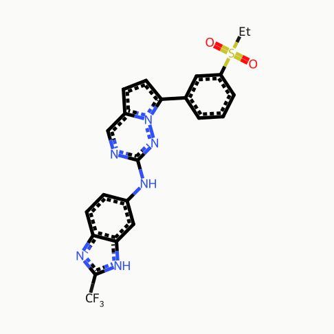 CCS(=O)(=O)c1cccc(-c2ccc3cnc(Nc4ccc5nc(C(F)(F)F)[nH]c5c4)nn23)c1